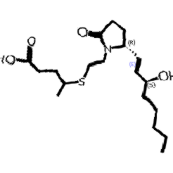 CCCCC[C@H](O)/C=C/[C@H]1CCC(=O)N1CCSC(C)CCC(=O)O